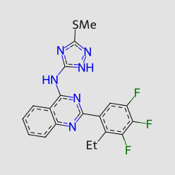 CCc1c(-c2nc(Nc3nc(SC)n[nH]3)c3ccccc3n2)cc(F)c(F)c1F